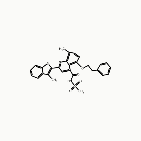 Cc1c(-c2cc(C(=O)NS(C)(=O)=O)c3c(OCCc4ccccc4)ccc(C)c3n2)sc2ccccc12